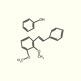 COc1cccc(C=Cc2ccccc2)c1OC.Oc1ccccc1